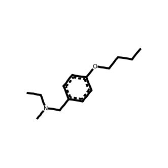 CCCCOc1ccc(CN(C)CC)cc1